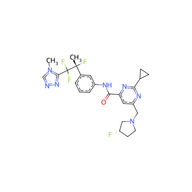 Cn1cnnc1C(F)(F)[C@](C)(F)c1cccc(NC(=O)c2cc(CN3CC[C@H](F)C3)nc(C3CC3)n2)c1